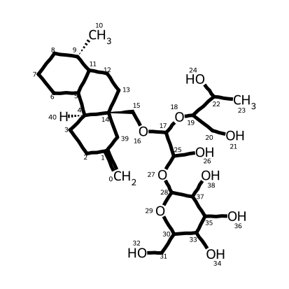 C=C1CC[C@H]2C3CCC[C@H](C)C3CC[C@]2(COC(OC(CO)C(C)O)C(O)OC2OC(CO)C(O)C(O)C2O)C1